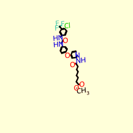 COC(=O)CCCCCCC(=O)Nc1cc(Oc2ccc(NC(=O)Nc3ccc(Cl)c(C(F)(F)F)c3)cc2)ccn1